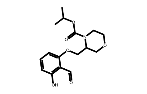 CC(C)OC(=O)N1CCOCC1COc1cccc(O)c1C=O